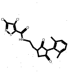 Cc1cccc(C)c1C1C(=O)CC(CCNC(=O)c2snc(Cl)c2Cl)C1=O